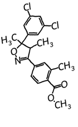 COC(=O)c1ccc(C2=NOC(C)(c3cc(Cl)cc(Cl)c3)C2C)cc1C